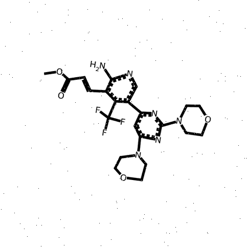 COC(=O)C=Cc1c(N)ncc(-c2cc(N3CCOCC3)nc(N3CCOCC3)n2)c1C(F)(F)F